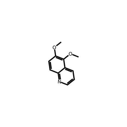 COc1ccc2ncccc2c1OC